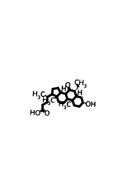 CC[C@H]1C(=O)C2C(CC[C@]3(C)C([C@H](C)CCC(=O)O)CC[C@@H]23)[C@@]2(C)CC[C@@H](O)C[C@@H]12